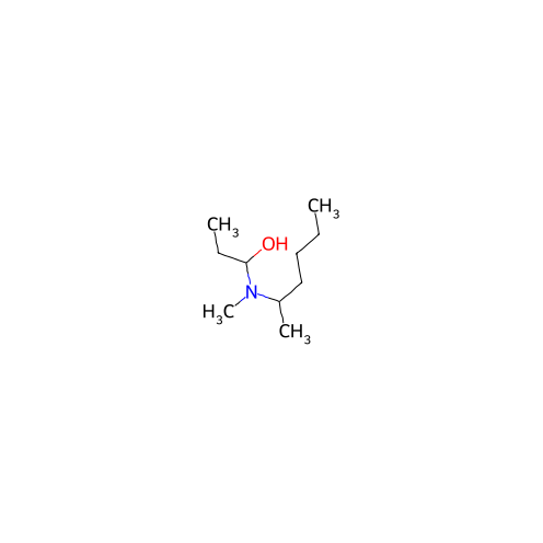 CCCCC(C)N(C)C(O)CC